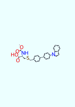 COC(=O)N[C@@H](CSCc1ccc(-c2ccc(-n3ccc4ccccc43)cc2)cc1)C(=O)O